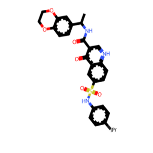 CC(C)c1ccc(NS(=O)(=O)c2ccc3[nH]cc(C(=O)NC(C)c4ccc5c(c4)OCCO5)c(=O)c3c2)cc1